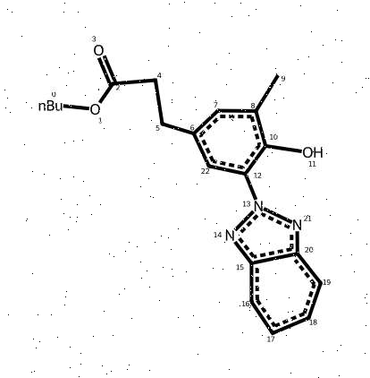 CCCCOC(=O)CCc1cc(C)c(O)c(-n2nc3ccccc3n2)c1